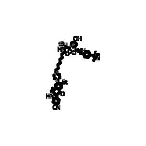 CCc1cc2c(cc1N1CCN(CCCCCCCC(=O)NC(C(=O)N3C[C@H](O)C[C@H]3C(=O)NCc3ccc(-c4scnc4C)cc3)C(C)(C)C)CC1)C(C)(C)c1[nH]c3cc(C#N)ccc3c1C2=O